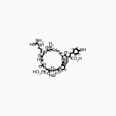 N=C(N)NCCC[C@@H]1NC(=O)[C@H](N)CSSC[C@@H](C(=O)N[C@@H](Cc2ccc(O)cc2)C(=O)O)NC(=O)[C@@H]2CCCN2C(=O)[C@H](CO)NC(=O)[C@H](CC(=O)O)NC(=O)CNC1=O